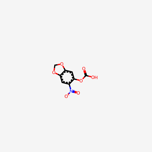 O=C(O)Oc1cc2c(cc1[N+](=O)[O-])OCO2